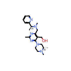 Cc1nc(CN(C)[C@@H](C)c2ccccn2)c(CO)c(N2CCN(C)[C@@H](C)C2)n1